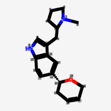 CN1CCCC1Cc1c[nH]c2ccc([C@H]3CC=CCO3)cc12